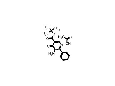 CC(=O)O.CC(C)(C)OC(=O)c1cnc(-c2ccccc2)n(N)c1=O